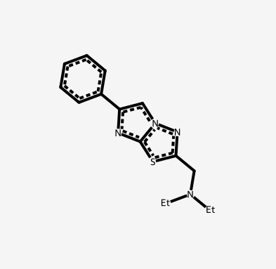 CCN(CC)Cc1nn2cc(-c3ccccc3)nc2s1